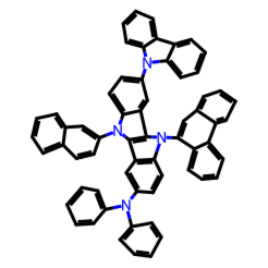 c1ccc(N(c2ccccc2)c2ccc3c(c2)c2c(c4cc(-n5c6ccccc6c6ccccc65)ccc4n2-c2ccc4ccccc4c2)n3-c2cc3ccccc3c3ccccc23)cc1